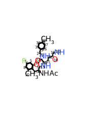 CC(=O)N[C@@H](Cc1ccc(F)cc1C)C(=O)N[C@@H](CCC(=O)C=N)C(=O)NCc1ccc(C)cc1